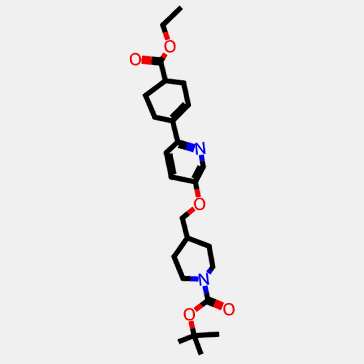 CCOC(=O)C1CC=C(c2ccc(OCC3CCN(C(=O)OC(C)(C)C)CC3)cn2)CC1